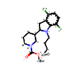 COCCCN1c2c(F)ccc(F)c2CC1C1CCCN(C(=O)OC(C)(C)C)C1